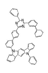 c1ccc(-c2cccc(-c3nc(-c4ccccc4)nc(-c4ccc(-c5cccc(-n6c7ccccc7c7cc8c(cc76)c6ccccc6n8-c6ccccc6)c5)cc4)n3)c2)cc1